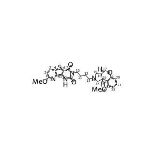 COc1ccc2sc3c(=O)n(CCCCN4C[C@H]5COc6cccc(OC)c6[C@@H]5C4)c(=O)[nH]c3c2n1